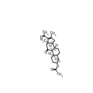 CC(=O)OC1CC[C@@]2(C)C(CC[C@@H]3[C@@H]2C(=O)C[C@]2(C)C(C(C)=O)=C(C)C[C@@H]32)C1